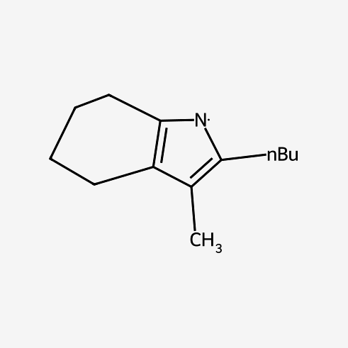 CCCCC1=C(C)C2=C(CCCC2)[N]1